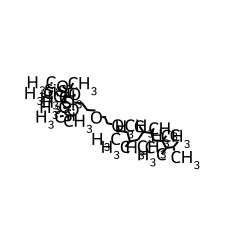 CCC(C)C(C)C(C)C(C)C(C)C(C)C(C)C(C)C(C)C(C)OCCOCCC[Si](C)(O[Si](C)(C)C)O[Si](C)(C)O[Si](C)(C)C